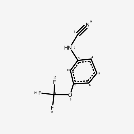 N#CNc1cccc(OC(F)(F)F)c1